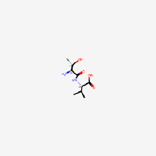 CC(C)[C@H](NC(=O)[C@@H](N)[C@H](C)O)C(=O)O